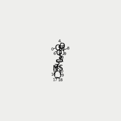 CO[Si](OC)(OC)C(C)CSSSc1nc2ccccc2s1